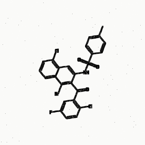 Cc1ccc(S(=O)(=O)Nc2cc3c(Cl)cccc3c(Br)c2C(=O)c2cc(F)ccc2Cl)cc1